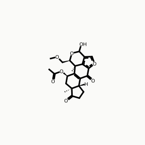 COC[C@H]1OC(O)c2coc3c2[C@@]1(C)C1=C(C3=O)[C@@H]2CCC(=O)[C@@]2(C)C[C@H]1OC(C)=O